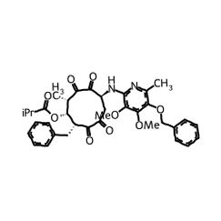 COc1c(N[C@H]2CC(=O)C(=O)[C@H](Cc3ccccc3)[C@H](OC(=O)C(C)C)[C@H](C)C(=O)C2=O)nc(C)c(OCc2ccccc2)c1OC